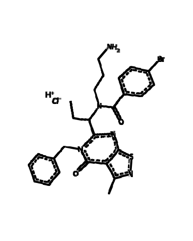 CCC(c1nc2snc(C)c2c(=O)n1Cc1ccccc1)N(CCCN)C(=O)c1ccc(Br)cc1.[Cl-].[H+]